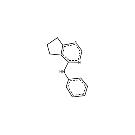 c1ccc(Nc2ncnc3c2CCC3)cc1